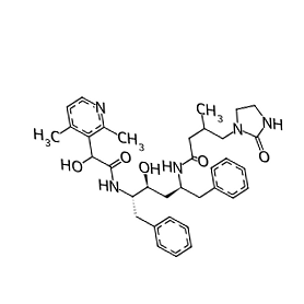 Cc1ccnc(C)c1C(O)C(=O)N[C@@H](Cc1ccccc1)[C@@H](O)C[C@H](Cc1ccccc1)NC(=O)CC(C)CN1CCNC1=O